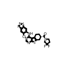 O=C([C@H]1CCc2c(sc3ncnc(Nc4cc5snnc5cc4Cl)c23)C1)N1CCC(F)(F)C1